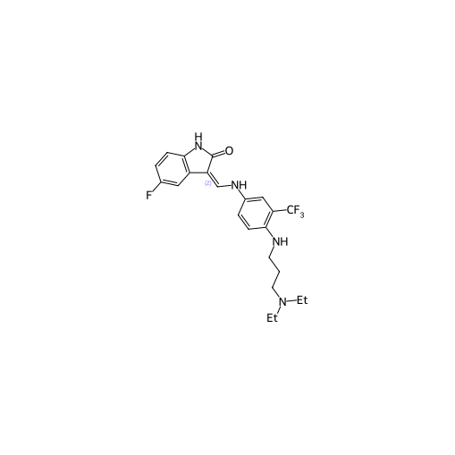 CCN(CC)CCCNc1ccc(N/C=C2\C(=O)Nc3ccc(F)cc32)cc1C(F)(F)F